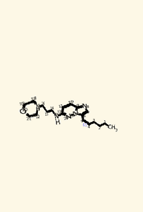 CCCC/C=C\c1cnc2ccc(NCCCN3CCOCC3)nn12